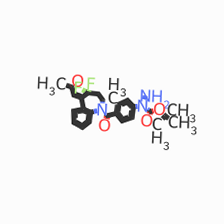 CC(=O)C=C1c2ccccc2N(C(=O)c2ccc(N(N)C(=O)OC(C)(C)C)cc2C)CCC1(F)F